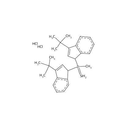 CC(C)(C)C1=C[CH]([Zr]([CH3])(=[SiH2])[CH]2C=C(C(C)(C)C)c3ccccc32)c2ccccc21.Cl.Cl